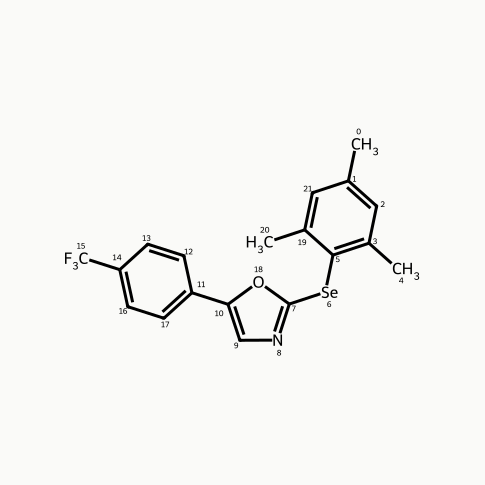 Cc1cc(C)c([Se]c2ncc(-c3ccc(C(F)(F)F)cc3)o2)c(C)c1